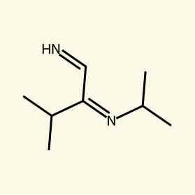 CC(C)N=C(C=N)C(C)C